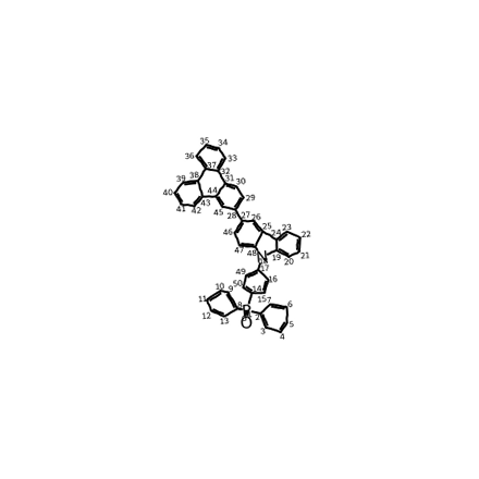 O=P(c1ccccc1)(c1ccccc1)c1ccc(-n2c3ccccc3c3cc(-c4ccc5c6ccccc6c6ccccc6c5c4)ccc32)cc1